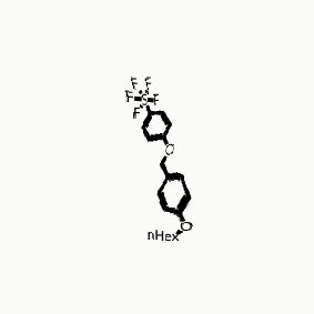 CCCCCCOc1ccc(COc2ccc(S(F)(F)(F)(F)F)cc2)cc1